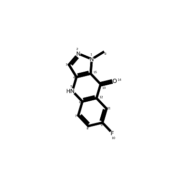 Cn1ncc2[nH]c3ccc(F)cc3c(=O)c21